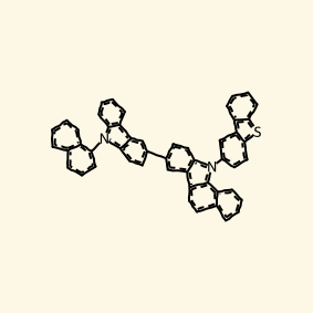 c1ccc2c(-n3c4ccccc4c4cc(-c5ccc6c(c5)c5ccc7ccccc7c5n6-c5ccc6sc7ccccc7c6c5)ccc43)cccc2c1